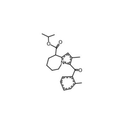 Cc1ccccc1C(=O)c1c(C)cc2n1CCCCC2C(=O)OC(C)C